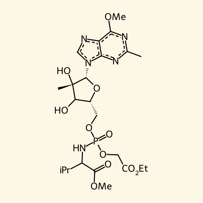 CCOC(=O)COP(=O)(NC(C(=O)OC)C(C)C)OC[C@H]1O[C@@H](n2cnc3c(OC)nc(C)nc32)[C@@](C)(O)C1O